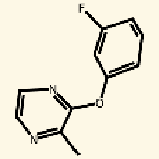 Cc1nccnc1Oc1cccc(F)c1